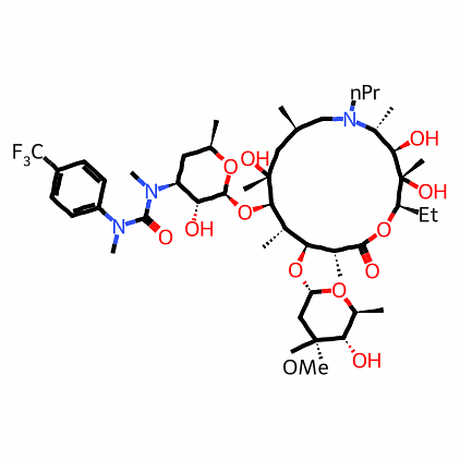 CCCN1C[C@H](C)C[C@@](C)(O)[C@H](O[C@@H]2O[C@H](C)C[C@H](N(C)C(=O)N(C)c3ccc(C(F)(F)F)cc3)[C@H]2O)[C@@H](C)[C@H](O[C@H]2C[C@@](C)(OC)[C@@H](O)[C@H](C)O2)[C@@H](C)C(=O)O[C@H](CC)[C@@](C)(O)[C@H](O)[C@H]1C